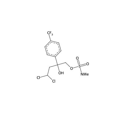 CNS(=O)(=O)OCC(O)(CC(Cl)Cl)c1ccc(C(F)(F)F)cc1